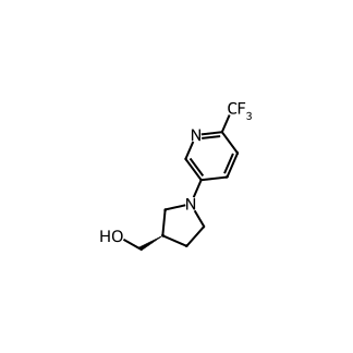 OC[C@@H]1CCN(c2ccc(C(F)(F)F)nc2)C1